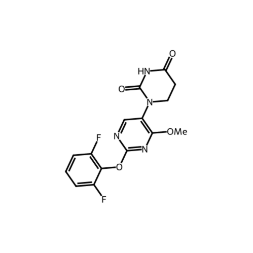 COc1nc(Oc2c(F)cccc2F)ncc1N1CCC(=O)NC1=O